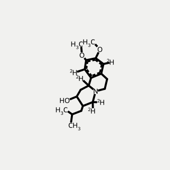 [2H]c1c2c(c([2H])c(OC)c1OC)C1([2H])CC(O)C(CC(C)C)C([2H])([2H])N1CC2